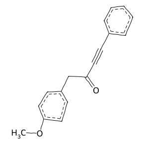 COc1ccc(CC(=O)C#Cc2ccccc2)cc1